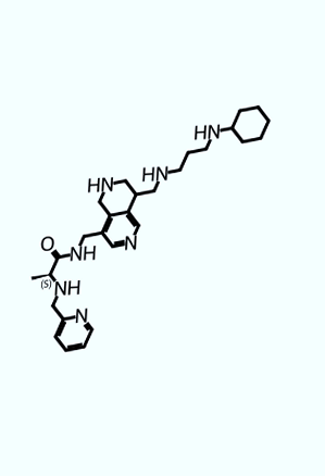 C[C@H](NCc1ccccn1)C(=O)NCc1cncc2c1CNCC2CNCCCNC1CCCCC1